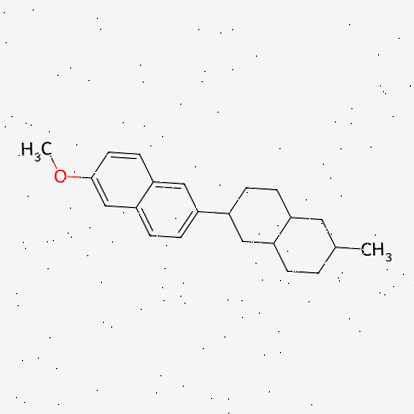 COc1ccc2cc(C3CCC4CC(C)CCC4C3)ccc2c1